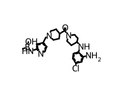 CB(O)Nc1cc(CN2CCC(C(=O)N3CCC(Nc4ccc(Cl)cc4N)CC3)CC2)ccn1